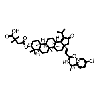 CC(C)C1=C2[C@H]3CC[C@@H]4[C@@]5(C)CC[C@H](OC(=O)CC(C)(C)C(=O)O)C(C)(C)[C@@H]5CC[C@@]4(C)[C@]3(C)CC[C@@]2(C=CC(=O)N[C@H](C)c2ccc(Cl)cn2)CC1=O